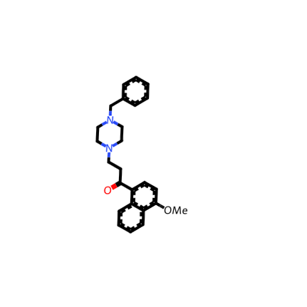 COc1ccc(C(=O)CCN2CCN(Cc3ccccc3)CC2)c2ccccc12